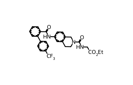 CCOC(=O)CNC(=O)N1CCc2cc(NC(=O)c3ccccc3-c3ccc(C(F)(F)F)cc3)ccc2C1